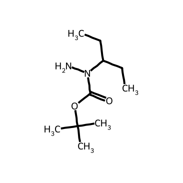 CCC(CC)N(N)C(=O)OC(C)(C)C